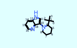 CC(C)(C)C1[CH]CCCN1c1c[nH]c2cccnc12